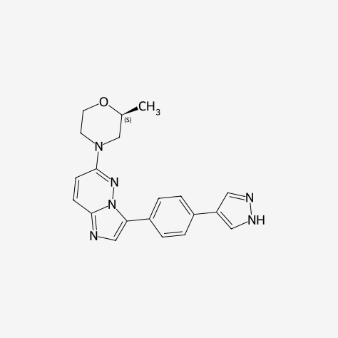 C[C@H]1CN(c2ccc3ncc(-c4ccc(-c5cn[nH]c5)cc4)n3n2)CCO1